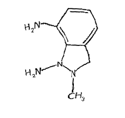 CN1Cc2cccc(N)c2N1N